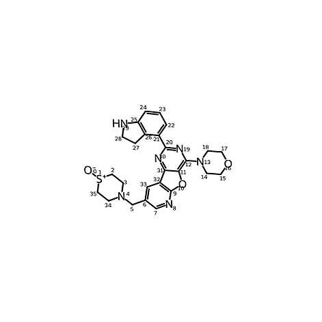 [O-][S+]1CCN(Cc2cnc3oc4c(N5CCOCC5)nc(-c5cccc6c5CCN6)nc4c3c2)CC1